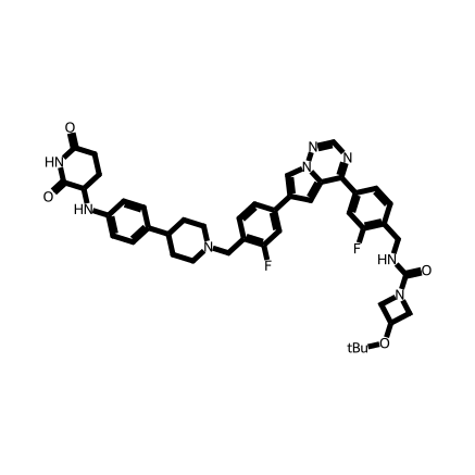 CC(C)(C)OC1CN(C(=O)NCc2ccc(-c3ncnn4cc(-c5ccc(CN6CCC(c7ccc(NC8CCC(=O)NC8=O)cc7)CC6)c(F)c5)cc34)cc2F)C1